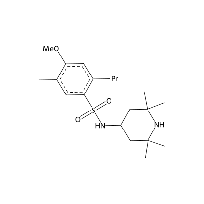 COc1cc(C(C)C)c(S(=O)(=O)NC2CC(C)(C)NC(C)(C)C2)cc1C